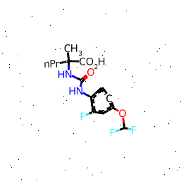 CCCC(C)(NC(=O)Nc1ccc(OC(F)F)cc1F)C(=O)O